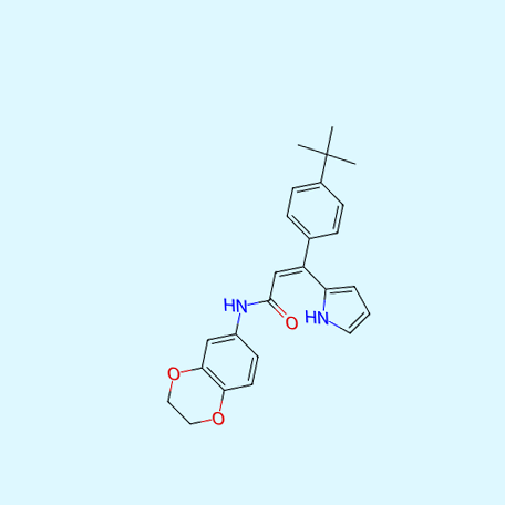 CC(C)(C)c1ccc(C(=CC(=O)Nc2ccc3c(c2)OCCO3)c2ccc[nH]2)cc1